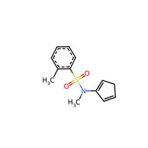 Cc1ccccc1S(=O)(=O)N(C)C1=CCC=C1